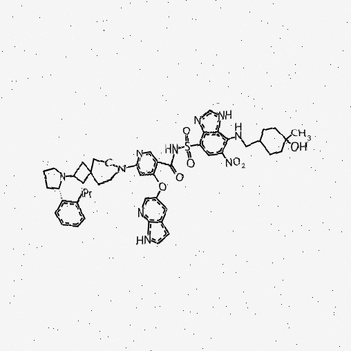 CC(C)c1ccccc1[C@@H]1CCCN1C1CC2(CCN(c3cc(Oc4cnc5[nH]ccc5c4)c(C(=O)NS(=O)(=O)c4cc([N+](=O)[O-])c(NCC5CCC(C)(O)CC5)c5[nH]cnc45)cn3)CC2)C1